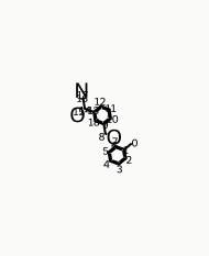 Cc1ccccc1OCc1cccc(C(=O)C#N)c1